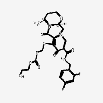 C[C@@H]1CCO[C@H]2Cn3cc(C(=O)NCc4ccc(F)cc4F)c(=O)c(OCOC(=O)OCCO)c3C(=O)N12